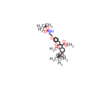 COC(=O)C(Cc1ccc(OCCNC(=O)OC(C)(C)C)cc1)=C(C(=O)OC)C1CCC(O[Si](C)(C)C(C)(C)C)CC1